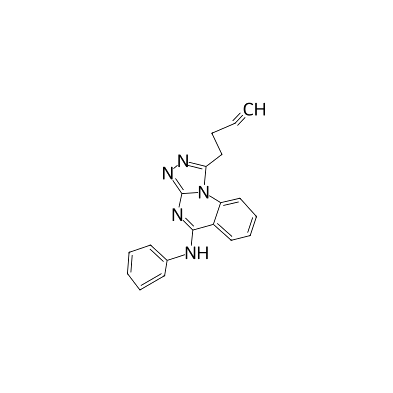 C#CCCc1nnc2nc(Nc3ccccc3)c3ccccc3n12